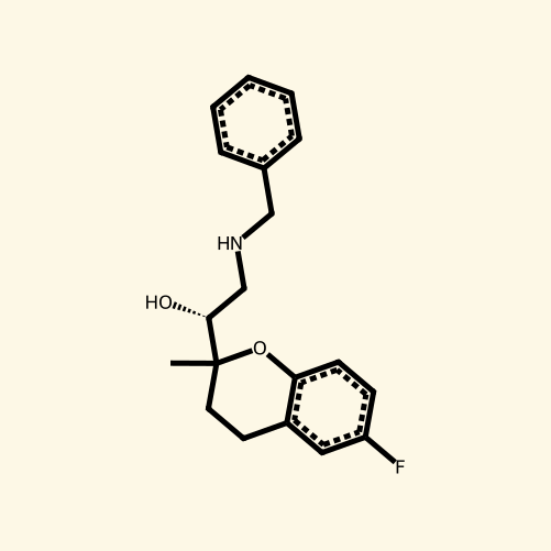 CC1([C@H](O)CNCc2ccccc2)CCc2cc(F)ccc2O1